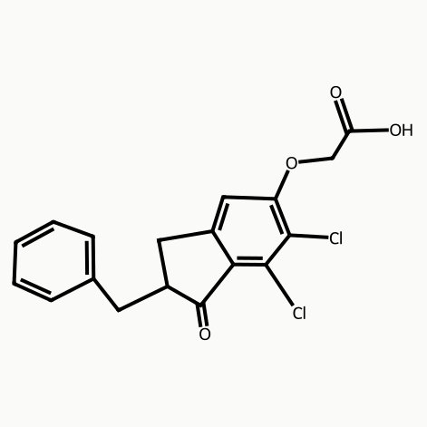 O=C(O)COc1cc2c(c(Cl)c1Cl)C(=O)C(Cc1ccccc1)C2